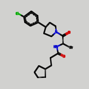 CC(C)C(NC(=O)CCC1CCCC1)C(=O)N1CCC(c2ccc(Cl)cc2)CC1